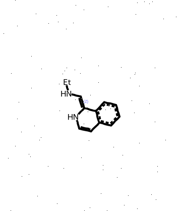 CCN/C=C1\NC=Cc2ccccc21